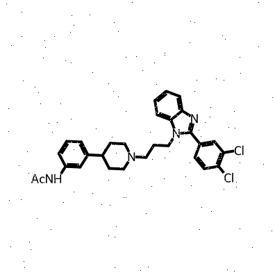 CC(=O)Nc1cccc(C2CCN(CCCn3c(-c4ccc(Cl)c(Cl)c4)nc4ccccc43)CC2)c1